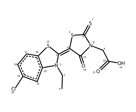 CCN1C(=C2SC(=S)N(CC(=O)O)C2=O)Sc2ccc(Cl)cc21